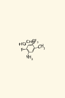 Cc1cc(N)c(F)cc1C(F)(F)F.O=CO